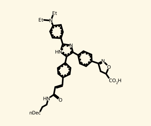 CCCCCCCCCCCCNC(=O)/C=C/c1ccc(-c2[nH]c(-c3ccc(N(CC)CC)cc3)nc2-c2ccc(C3=NOC(C(=O)O)C3)cc2)cc1